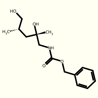 C[C@H](CO)C[C@](C)(O)CNC(=O)OCc1ccccc1